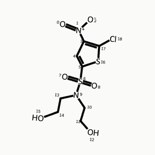 O=[N+]([O-])c1cc(S(=O)(=O)N(CCO)CCO)sc1Cl